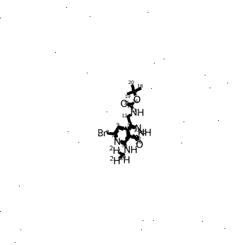 [2H]C([2H])([2H])Nc1nc(Br)cc2c(CNC(=O)OC(C)(C)C)n[nH]c(=O)c12